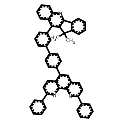 CC1(C)c2ccccc2-c2nc3ccccc3c(-c3cccc(-c4ccc(-c5cc6ccc(-c7ccccc7)nc6c6nc(-c7ccccc7)ccc56)cc4)c3)c21